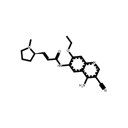 CCOc1cc2ncc(C#N)c(N)c2cc1NC(=O)/C=C/[C@H]1CCCN1C